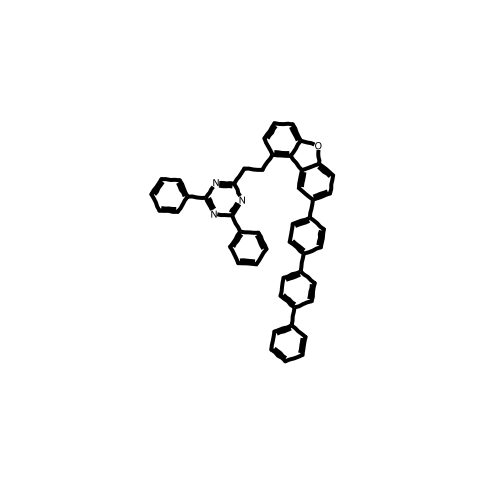 c1ccc(-c2ccc(-c3ccc(-c4ccc5oc6cccc(CCc7nc(-c8ccccc8)nc(-c8ccccc8)n7)c6c5c4)cc3)cc2)cc1